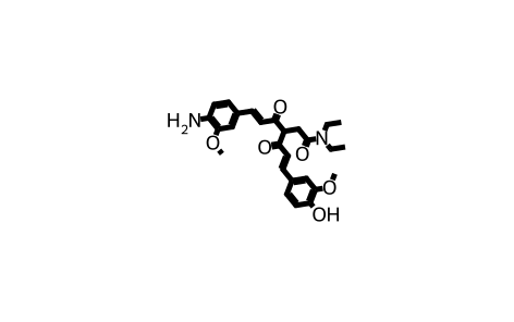 CCN(CC)C(=O)CC(C(=O)/C=C/c1ccc(N)c(OC)c1)C(=O)/C=C/c1ccc(O)c(OC)c1